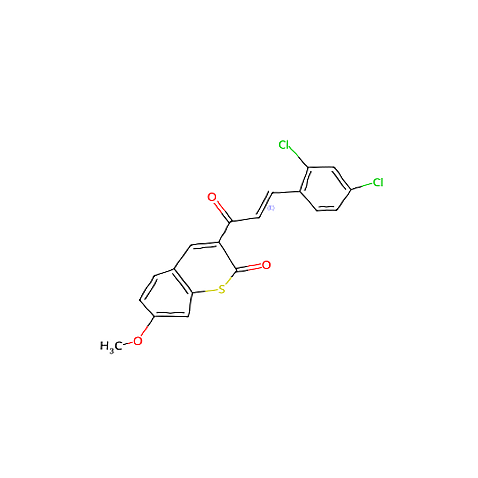 COc1ccc2cc(C(=O)/C=C/c3ccc(Cl)cc3Cl)c(=O)sc2c1